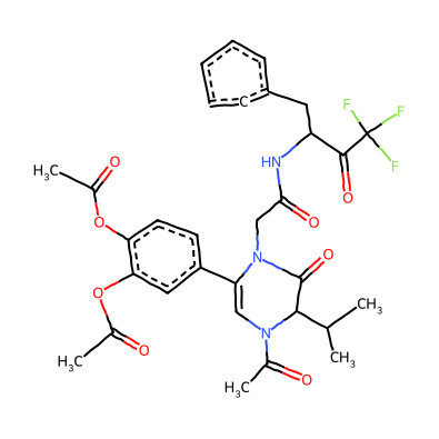 CC(=O)Oc1ccc(C2=CN(C(C)=O)C(C(C)C)C(=O)N2CC(=O)NC(Cc2ccccc2)C(=O)C(F)(F)F)cc1OC(C)=O